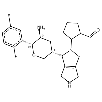 N[C@H]1C[C@H](C2C3=C(CNC3)CN2C2CCCC2C=O)CO[C@@H]1c1cc(F)ccc1F